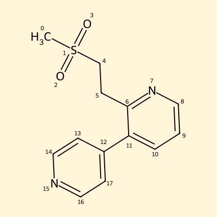 CS(=O)(=O)CCc1ncccc1-c1ccncc1